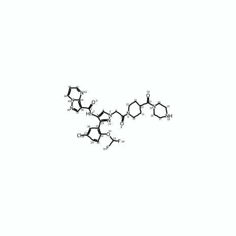 O=C(Nc1cn(CC(=O)N2CCC(C(=O)N3CCNCC3)CC2)nc1-c1cc(Cl)ccc1OC(F)F)c1cnn2cccnc12